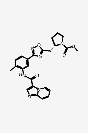 COC(=O)N1CCC[C@H]1Cc1nc(-c2ccc(C)c(NC(=O)c3cnc4ccccn34)c2)no1